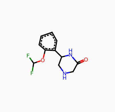 O=C1CNCC(c2ccccc2OC(F)F)N1